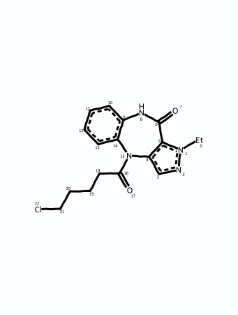 CCn1ncc2c1C(=O)Nc1ccccc1N2C(=O)CCCCCl